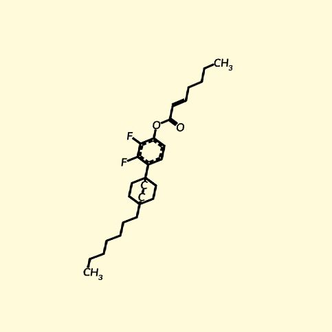 CCCC/C=C/C(=O)Oc1ccc(C23CCC(CCCCCCC)(CC2)CC3)c(F)c1F